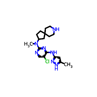 Cc1cc(Nc2nc(N(C)C3CCC4(CCNCC4)C3)ncc2Cl)n[nH]1